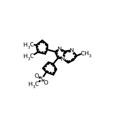 Cc1ccn2c(-c3ccc(S(C)(=O)=O)cc3)c(-c3ccc(C)c(C)c3)nc2n1